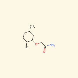 CC(C)[C@H]1CC[C@H](C)C[C@@H]1OCC(N)=O